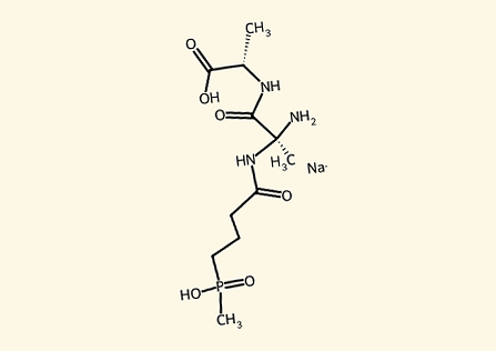 C[C@H](NC(=O)[C@@](C)(N)NC(=O)CCCP(C)(=O)O)C(=O)O.[Na]